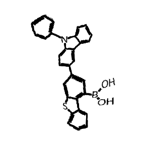 OB(O)c1cc(-c2ccc3c(c2)c2ccccc2n3-c2ccccc2)cc2sc3ccccc3c12